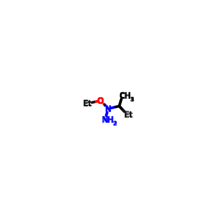 CCON(N)C(C)CC